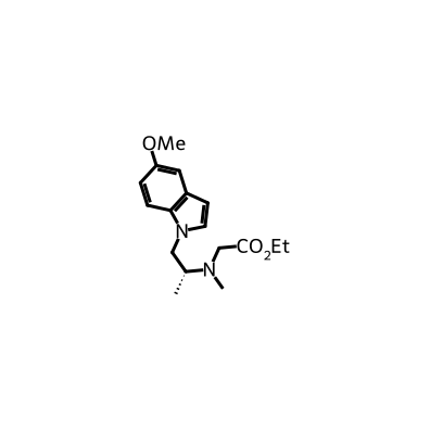 CCOC(=O)CN(C)[C@H](C)Cn1ccc2cc(OC)ccc21